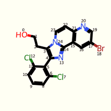 OCCc1c(-c2c(Cl)cccc2Cl)nc2c3cc(Br)cnc3ccn12